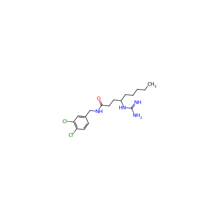 CCCCCC(CCC(=O)NCc1ccc(Cl)c(Cl)c1)NC(=N)N